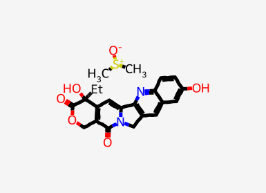 CCC1(O)C(=O)OCc2c1cc1n(c2=O)Cc2cc3cc(O)ccc3nc2-1.C[S+](C)[O-]